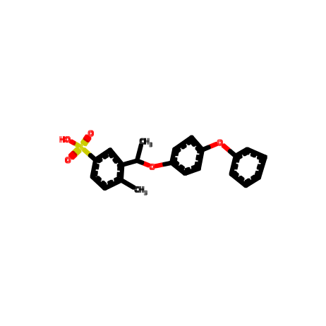 Cc1ccc(S(=O)(=O)O)cc1C(C)Oc1ccc(Oc2ccccc2)cc1